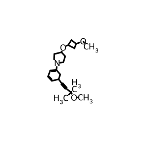 COC1CC(OC2CCN(C3=CC=CC(C#CC(C)(C)OC)C3)CC2)C1